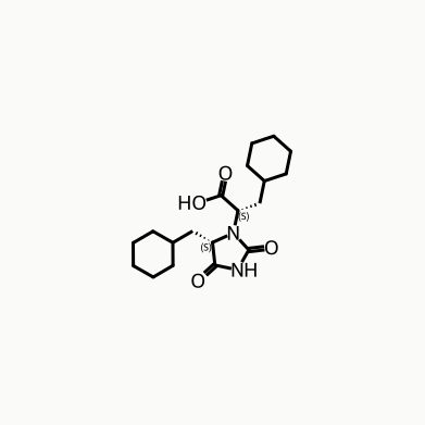 O=C(O)[C@H](CC1CCCCC1)N1C(=O)NC(=O)[C@@H]1CC1CCCCC1